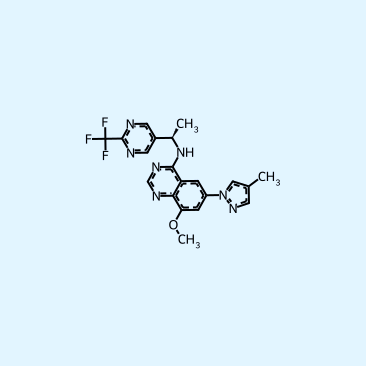 COc1cc(-n2cc(C)cn2)cc2c(N[C@H](C)c3cnc(C(F)(F)F)nc3)ncnc12